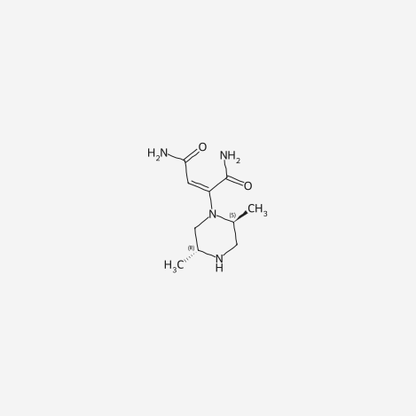 C[C@@H]1CN(C(=CC(N)=O)C(N)=O)[C@@H](C)CN1